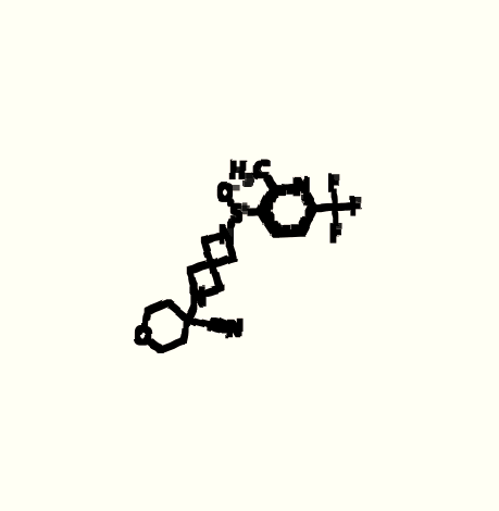 Cc1nc(C(F)(F)F)ccc1[S+]([O-])N1CC2(C1)CN(C1(C#N)CCOCC1)C2